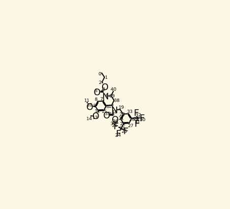 CCCOC(=O)N1c2cc(OC)c(OC)cc2C(N(Cc2cc(C(F)(F)F)cc(C(F)(F)F)c2)C(=O)OC)CC1C